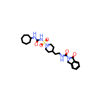 O=C(NC1CCCCCC1)NS(=O)(=O)N1CCC(CCNC(=O)N2Cc3ccccc3C2=O)CC1